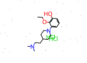 CCOc1c(O)cccc1N1CCC(CCN(C)C)CC1.Cl.Cl